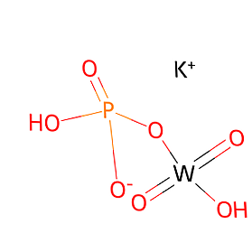 O=P([O-])(O)[O][W](=[O])(=[O])[OH].[K+]